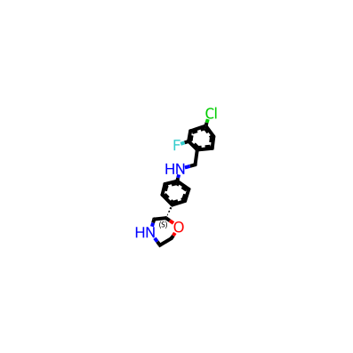 Fc1cc(Cl)ccc1CNc1ccc([C@H]2CNCCO2)cc1